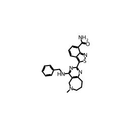 CN1CCCc2nc(-c3snc4c(C(N)=O)cccc34)nc(NCc3ccccc3)c2C1